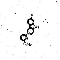 COc1cccc(N2CCc3[nH]c4cc(F)ccc4c3C2)n1